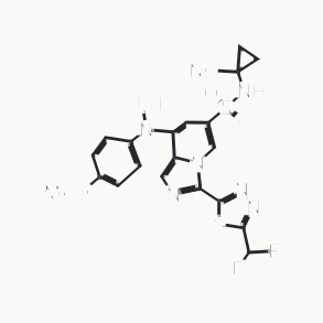 COc1ccc(N(C)c2cc(S(=O)(=O)NC3(C#N)CC3)cn3c(-c4nnc(C(F)F)s4)ncc23)cc1